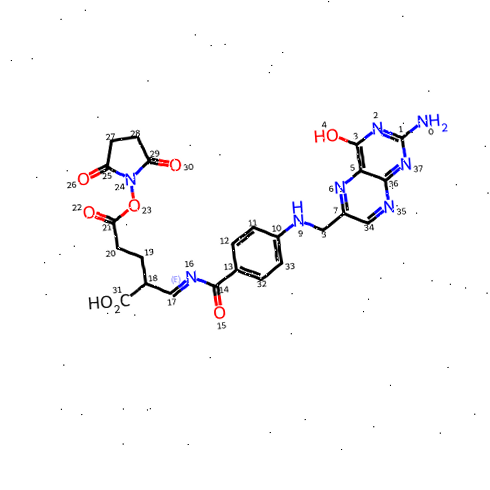 Nc1nc(O)c2nc(CNc3ccc(C(=O)/N=C/C(CCC(=O)ON4C(=O)CCC4=O)C(=O)O)cc3)cnc2n1